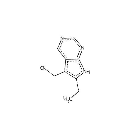 CCc1[nH]c2ncncc2c1CCl